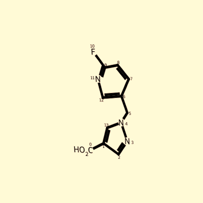 O=C(O)c1cnn(Cc2ccc(F)nc2)c1